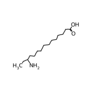 CCC(N)CCCCCCCCCCCC(=O)O